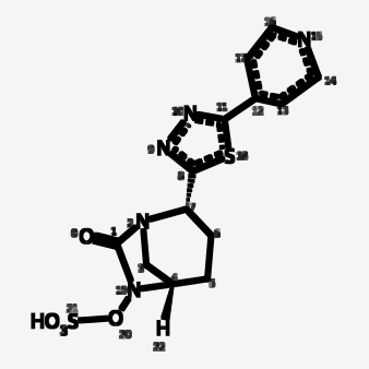 O=C1N2C[C@H](CC[C@H]2c2nnc(-c3ccncc3)s2)N1OS(=O)(=O)O